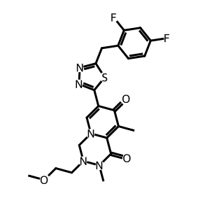 COCCN1Cn2cc(-c3nnc(Cc4ccc(F)cc4F)s3)c(=O)c(C)c2C(=O)N1C